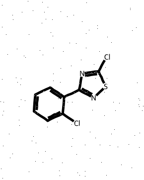 Clc1nc(-c2ccccc2Cl)ns1